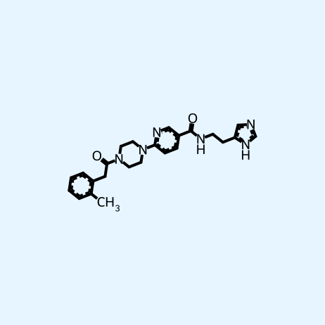 Cc1ccccc1CC(=O)N1CCN(c2ccc(C(=O)NCCc3cnc[nH]3)cn2)CC1